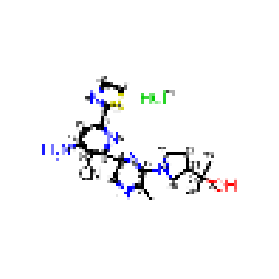 Cc1ncc(-c2nc(-c3nccs3)cc(N)c2C#N)nc1N1CCC(C(C)(C)O)C1.Cl